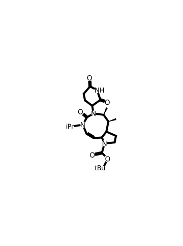 CC(C)N1C=CC2C(CCN2C(=O)OC(C)(C)C)[C@H](C)[C@H](C)N(C2CCC(=O)NC2=O)C1=O